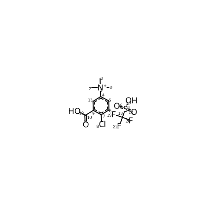 C[N+](C)(C)c1ccc(Cl)c(C(=O)O)c1.O=S(=O)(O)C(F)(F)F